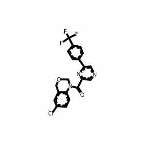 O=C(c1cncc(-c2ccc(C(F)(F)F)cc2)n1)N1COCc2cc(Cl)ccc21